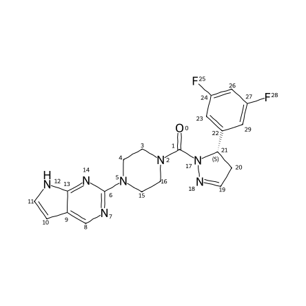 O=C(N1CCN(c2ncc3cc[nH]c3n2)CC1)N1N=CC[C@H]1c1cc(F)cc(F)c1